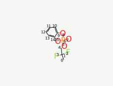 CC(F)(F)COP1(=O)Oc2ccccc2O1